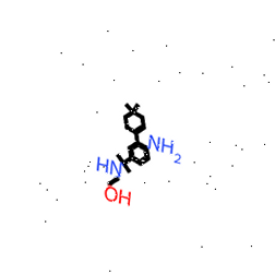 CC1(C)CC=C(c2cc(C(C)(C)NCCO)ccc2N)CC1